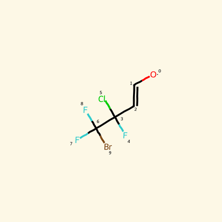 [O]C=CC(F)(Cl)C(F)(F)Br